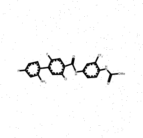 COC(=O)Nc1ccc(NC(=O)c2cc(F)c(-c3ccc(F)cc3N)cc2Cl)cc1C(F)(F)F